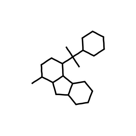 CC1CCC(C(C)(C)C2CCCCC2)C2C1CC1CCCCC12